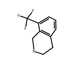 FC(F)(F)c1cccc2c1C[N]CC2